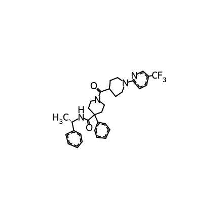 C[C@H](NC(=O)C1(c2ccccc2)CCN(C(=O)C2CCN(c3ccc(C(F)(F)F)cn3)CC2)CC1)c1ccccc1